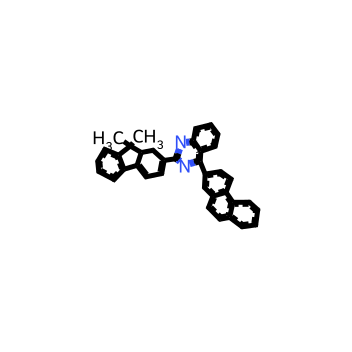 CC1(C)c2ccccc2C2=CC=C(c3nc(-c4ccc5c(ccc6ccccc65)c4)c4ccccc4n3)CC21